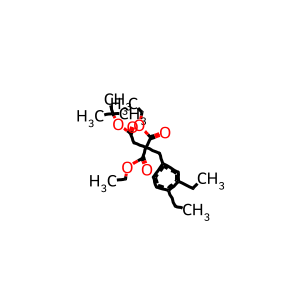 CCOC(=O)C(CC(=O)OC(C)(C)C)(Cc1ccc(CC)c(CC)c1)C(=O)OCC